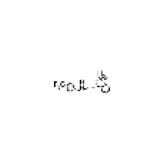 C=C(N)c1ccccc1NCCCNCc1ccc(C(F)(F)F)cc1